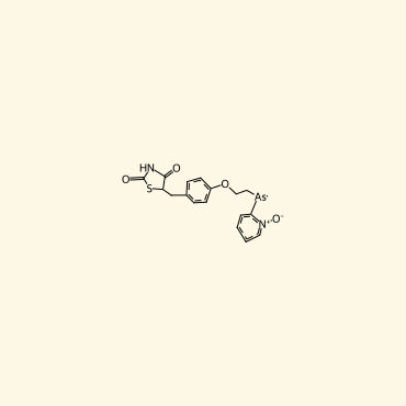 C[As](CCOc1ccc(CC2SC(=O)NC2=O)cc1)c1cccc[n+]1[O-]